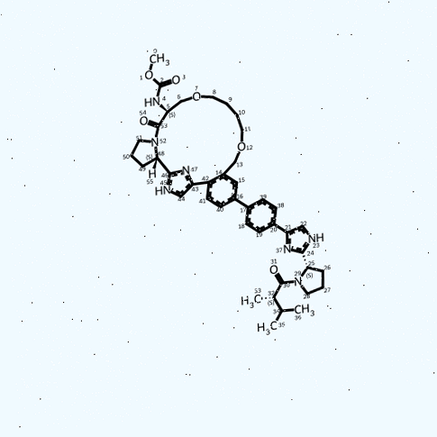 COC(=O)N[C@H]1COCCCCOCc2cc(-c3ccc(-c4c[nH]c([C@@H]5CCCN5C(=O)[C@@H](C)C(C)C)n4)cc3)ccc2-c2c[nH]c(n2)[C@@H]2CCCN2C1=O